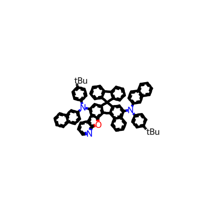 CC(C)(C)c1ccc(N(c2ccc3ccccc3c2)c2cc3c(c4ccccc24)-c2c(cc(N(c4ccc(C(C)(C)C)cc4)c4ccc5ccccc5c4)c4c2oc2ncccc24)C32c3ccccc3-c3ccccc32)cc1